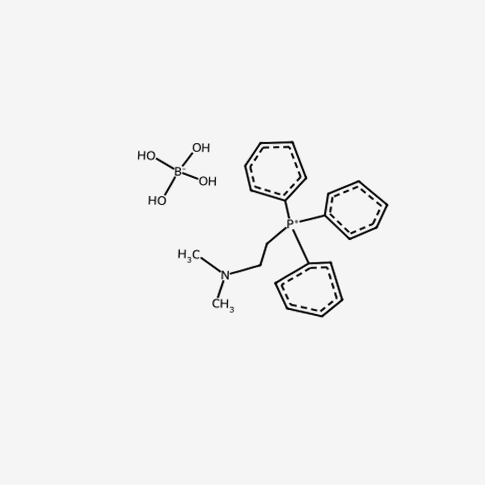 CN(C)CC[P+](c1ccccc1)(c1ccccc1)c1ccccc1.O[B-](O)(O)O